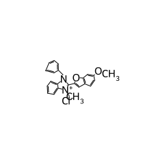 COc1ccc2cc(-c3n(Cc4ccccc4)c4ccccc4[n+]3C)oc2c1.[Cl-]